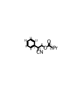 CC(C)C(=O)OCC(C#N)c1ccccc1